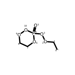 [CH2]COOP1(=O)OCCOO1